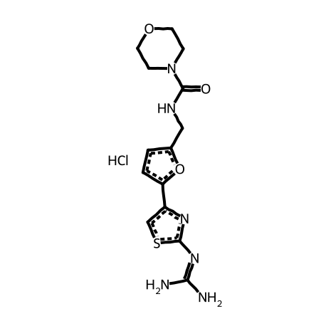 Cl.NC(N)=Nc1nc(-c2ccc(CNC(=O)N3CCOCC3)o2)cs1